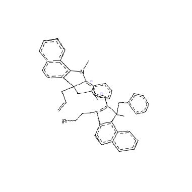 C=CCC1(Cc2ccccc2)/C(=C\C=C\C2=[N+](CCC(C)C)c3ccc4ccccc4c3C2(C)Cc2ccccc2)N(C)c2c1ccc1ccccc21